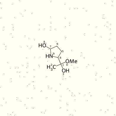 COC(C)(O)C1CCC(O)N1